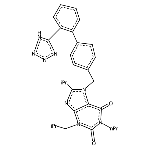 CCCn1c(=O)c2c(nc(C(C)C)n2Cc2ccc(-c3ccccc3-c3nnn[nH]3)cc2)n(CC(C)C)c1=O